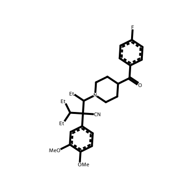 CCC(CC)C(C#N)(c1ccc(OC)c(OC)c1)C(CC)N1CCC(C(=O)c2ccc(F)cc2)CC1